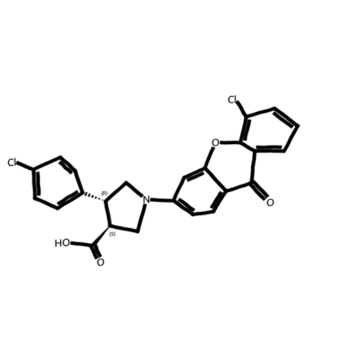 O=C(O)[C@@H]1CN(c2ccc3c(=O)c4cccc(Cl)c4oc3c2)C[C@H]1c1ccc(Cl)cc1